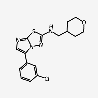 Clc1cccc(-c2cnc3sc(NCC4CCOCC4)nn23)c1